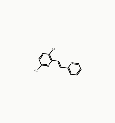 Cc1ccc(O)c(C=Cc2ccccn2)n1